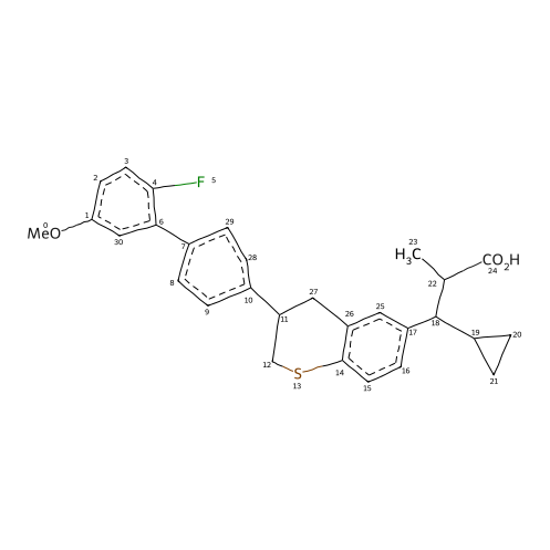 COc1ccc(F)c(-c2ccc(C3CSc4ccc(C(C5CC5)C(C)C(=O)O)cc4C3)cc2)c1